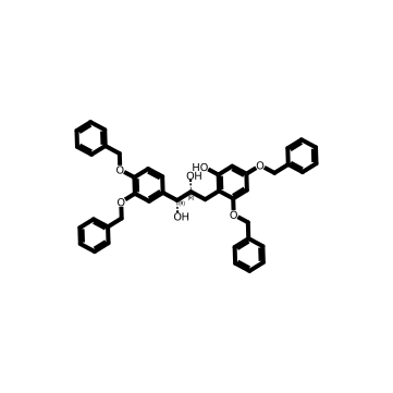 Oc1cc(OCc2ccccc2)cc(OCc2ccccc2)c1C[C@@H](O)[C@H](O)c1ccc(OCc2ccccc2)c(OCc2ccccc2)c1